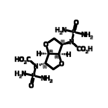 NP(N)(=O)N(C(=O)O)[C@@H]1CO[C@H]2[C@@H]1OC[C@@H]2N(C(=O)O)P(N)(N)=O